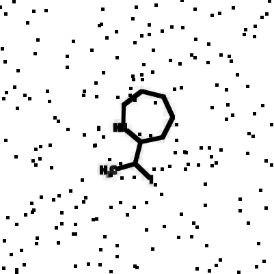 CC(I)C1CCCCCN1